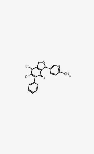 CCn1c([O-])c(-c2ccccc2)c(=O)[n+]2c1CSC2c1ccc(C)nc1